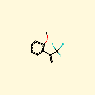 C=C(c1ccccc1OC)C(F)(F)F